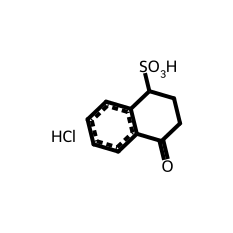 Cl.O=C1CCC(S(=O)(=O)O)c2ccccc21